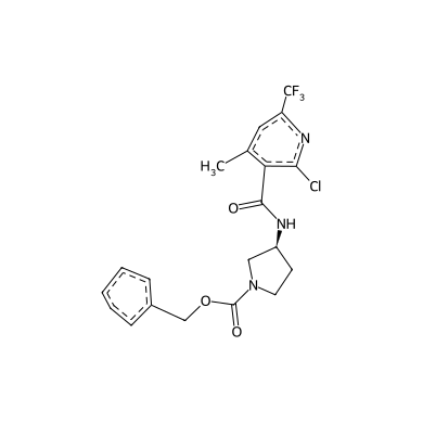 Cc1cc(C(F)(F)F)nc(Cl)c1C(=O)N[C@H]1CCN(C(=O)OCc2ccccc2)C1